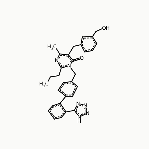 CCCc1nc(C)c(Cc2cccc(CO)c2)c(=O)n1Cc1ccc(-c2ccccc2-c2nnn[nH]2)cc1